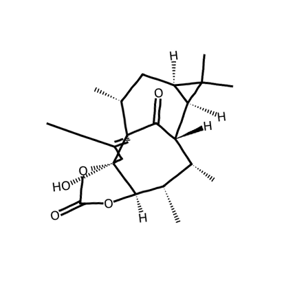 CC1=C[C@]23C(=O)[C@@H]([C@H](C)[C@H](C)[C@H]4OC(=O)O[C@]42[C@H]1O)[C@H]1[C@@H](C[C@H]3C)C1(C)C